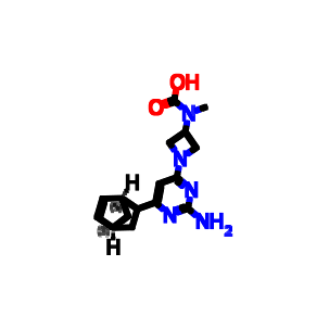 CN(C(=O)O)C1CN(c2cc(C3C[C@H]4C=C[C@@H]3C4)nc(N)n2)C1